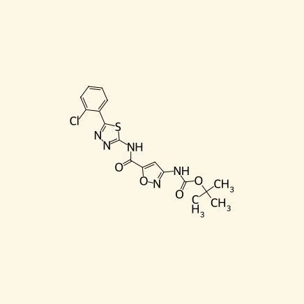 CC(C)(C)OC(=O)Nc1cc(C(=O)Nc2nnc(-c3ccccc3Cl)s2)on1